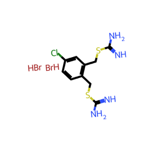 Br.Br.N=C(N)SCc1ccc(Cl)cc1CSC(=N)N